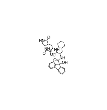 NC(=O)C(=O)[C@@H](C[C@H]1CCNC1=O)NC(=O)[C@@H](CC1CCCCC1)NC(=O)C1(O)c2ccccc2-c2ccccc21